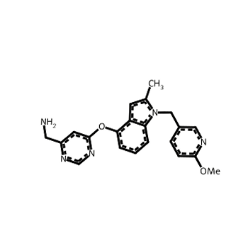 COc1ccc(Cn2c(C)cc3c(Oc4cc(CN)ncn4)cccc32)cn1